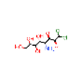 N[C@@H](C(=O)C(=O)C(Cl)Cl)[C@@H](O)[C@@H](O)[C@H](O)CO